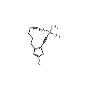 CCCCCCCCCCCCc1cc(Cl)sc1C#C[Si](C)(C)C